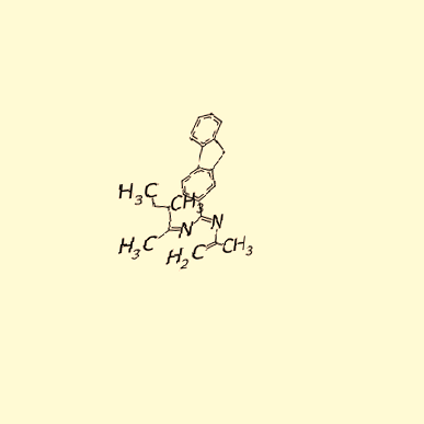 C=C(C)/N=C(\N=C(\C)[C@@H](C)CC)c1ccc2c(c1)Cc1ccccc1-2